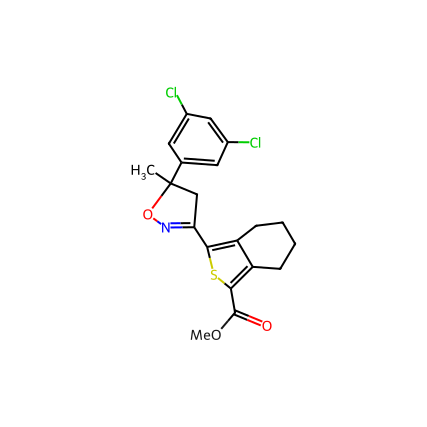 COC(=O)c1sc(C2=NOC(C)(c3cc(Cl)cc(Cl)c3)C2)c2c1CCCC2